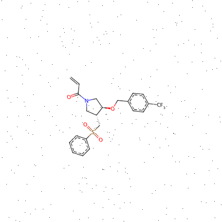 C=CC(=O)N1C[C@@H](CS(=O)(=O)c2ccccc2)[C@H](OCc2ccc(C(F)(F)F)cc2)C1